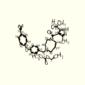 CCOC(C)=O.Cc1n[nH]c(C(C)C)c1C(=O)N1CCCN(Cc2ccc(Oc3ccc(C#N)cc3)cc2)CC1